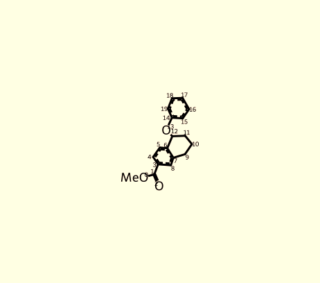 COC(=O)c1ccc2c(c1)CCCC2Oc1ccccc1